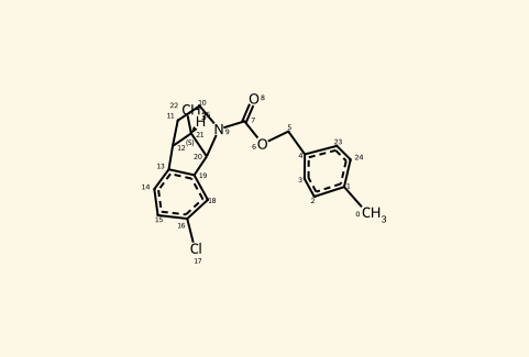 Cc1ccc(COC(=O)N2CCC3c4ccc(Cl)cc4C2[C@H]3C)cc1